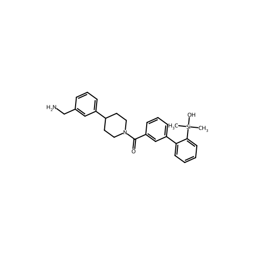 C[Si](C)(O)c1ccccc1-c1cccc(C(=O)N2CCC(c3cccc(CN)c3)CC2)c1